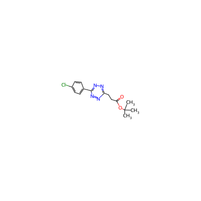 CC(C)(C)OC(=O)CCc1nnc(-c2ccc(Cl)cc2)nn1